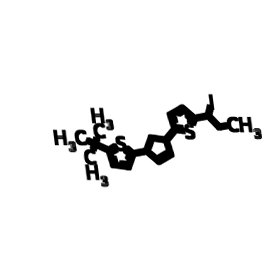 CCC(I)c1ccc(C2C=CC(c3ccc(C(C)(C)C)s3)C2)s1